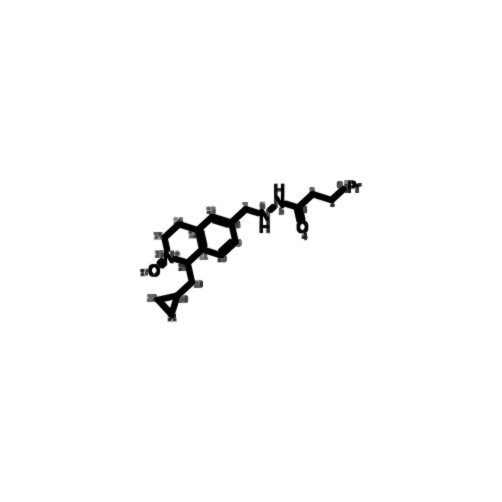 CC(C)CCC(=O)NNCc1ccc2c(c1)CC[N+](=O)C2CC1CC1